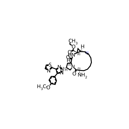 CCOC(=O)[C@@]12C[C@H]1/C=C\CCCCC[C@H](N)C(=O)N1C[C@H](n3nc(-c4ccc(OC)cc4)c(-c4nccs4)n3)C[C@H]1C(=O)N2